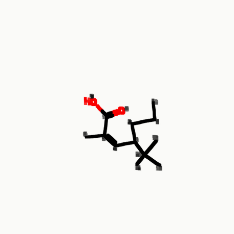 [CH2]CCC(C=C(C)C(=O)O)C(C)(C)C